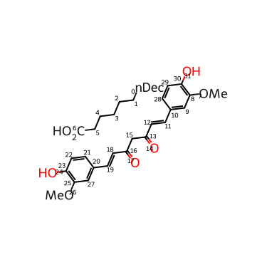 CCCCCCCCCCCCCCCC(=O)O.COc1cc(/C=C/C(=O)CC(=O)/C=C/c2ccc(O)c(OC)c2)ccc1O